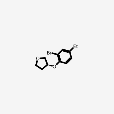 CCc1ccc(O[C@H]2CCOC2)c(Br)c1